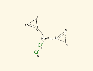 C1=[C]([Fe+2][C]2=CC2)C1.[Cl-].[Cl-]